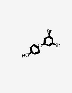 Clc1cc(Br)cc(Br)c1.Oc1ccccc1